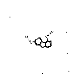 O=C=Nc1ccc2c(c1)Cc1cccc(N=C=O)c1-2